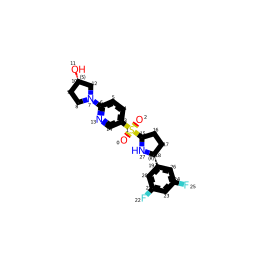 O=S(=O)(c1ccc(N2CC[C@H](O)C2)nc1)C1CC[C@H](c2cc(F)cc(F)c2)N1